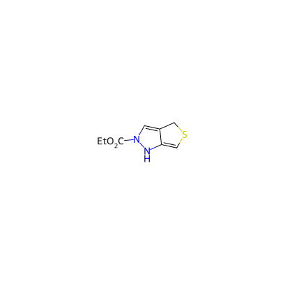 CCOC(=O)N1C=C2CSC=C2N1